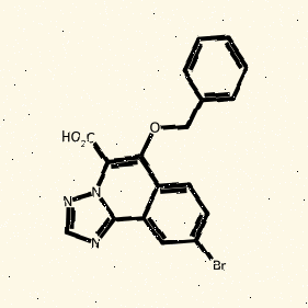 O=C(O)c1c(OCc2ccccc2)c2ccc(Br)cc2c2ncnn12